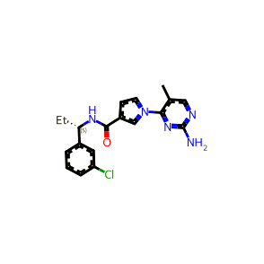 CC[C@H](NC(=O)c1ccn(-c2nc(N)ncc2C)c1)c1cccc(Cl)c1